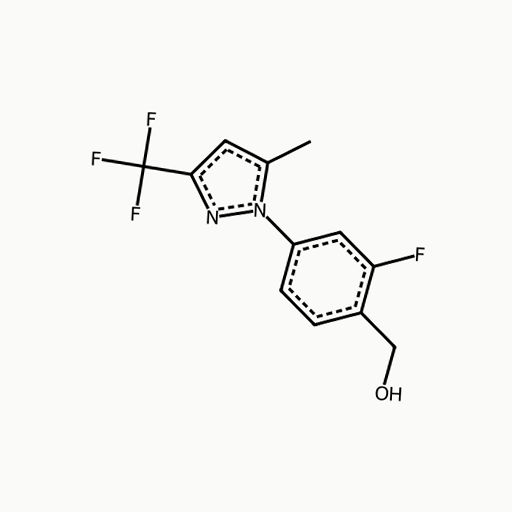 Cc1cc(C(F)(F)F)nn1-c1ccc(CO)c(F)c1